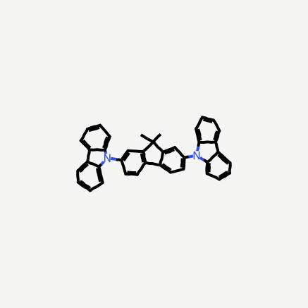 CC1(C)c2cc(-n3c4ccccc4c4ccccc43)ccc2-c2ccc(-n3c4ccccc4c4ccccc43)cc21